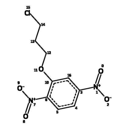 O=[N+]([O-])c1ccc([N+](=O)[O-])c(OCCCCl)c1